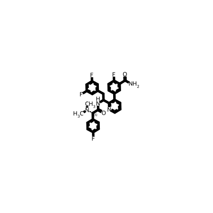 CN(C)[C@H](C(=O)NC(Cc1cc(F)cc(F)c1)c1ncccc1-c1ccc(F)c(C(N)=O)c1)c1ccc(F)cc1